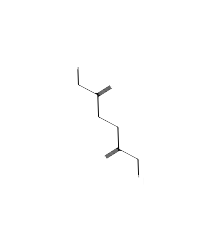 O=C(CCl)CCC(=O)CCl